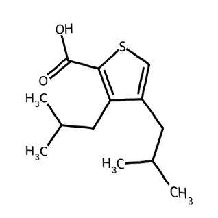 CC(C)Cc1csc(C(=O)O)c1CC(C)C